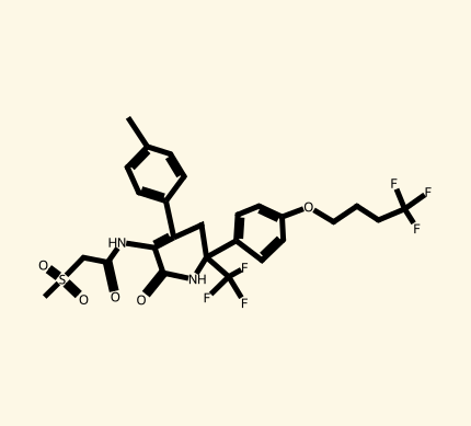 Cc1ccc(C2=C(NC(=O)CS(C)(=O)=O)C(=O)NC(c3ccc(OCCCC(F)(F)F)cc3)(C(F)(F)F)C2)cc1